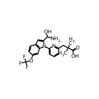 CC(C)(Cc1cccc(-n2c(C(N)O)cc3ccc(OC(F)(F)F)cc32)n1)C(=O)O